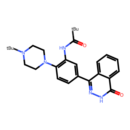 CC(C)(C)C(=O)Nc1cc(-c2n[nH]c(=O)c3ccccc23)ccc1N1CCN(C(C)(C)C)CC1